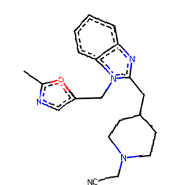 Cc1ncc(Cn2c(CC3CCN(CC#N)CC3)nc3ccccc32)o1